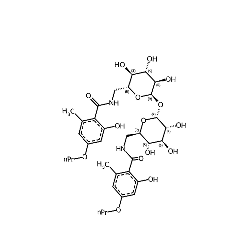 CCCOc1cc(C)c(C(=O)NC[C@H]2O[C@H](O[C@H]3O[C@H](CNC(=O)c4c(C)cc(OCCC)cc4O)[C@@H](O)[C@H](O)[C@H]3O)[C@H](O)[C@@H](O)[C@@H]2O)c(O)c1